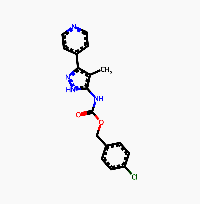 Cc1c(-c2ccncc2)n[nH]c1NC(=O)OCc1ccc(Cl)cc1